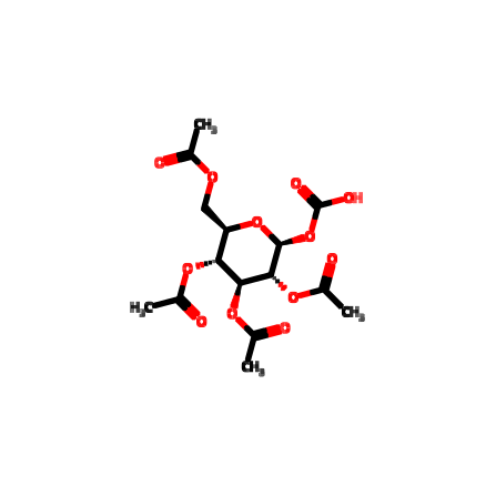 CC(=O)OC[C@H]1O[C@@H](OC(=O)O)[C@H](OC(C)=O)[C@@H](OC(C)=O)[C@@H]1OC(C)=O